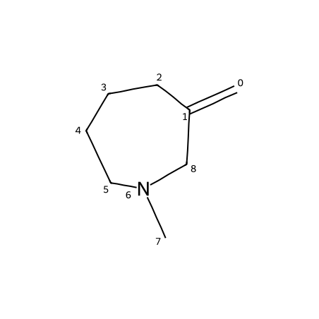 C=C1CCCCN(C)C1